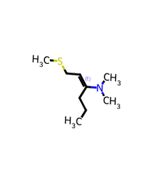 CCC/C(=C\CSC)N(C)C